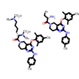 Cc1cc(C#N)cc(C)c1Oc1nc(Nc2ccc(C#N)cc2)nc2c1CN(C(=O)[C@@H](N)CC(C)C)CC2.Cc1cc(C#N)cc(C)c1Oc1nc(Nc2ccc(C#N)cc2)nc2c1CN(C(=O)[C@H](CCCCN(C(=O)O)C(C)(C)C)N(C(=O)O)C(C)(C)C)CC2